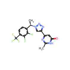 Cc1nc(-c2cn([C@H](C)c3ccc(C(F)(F)F)c(F)c3F)nn2)cc(=O)[nH]1